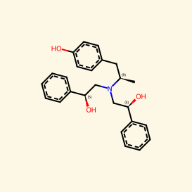 C[C@H](Cc1ccc(O)cc1)N(C[C@@H](O)c1ccccc1)C[C@@H](O)c1ccccc1